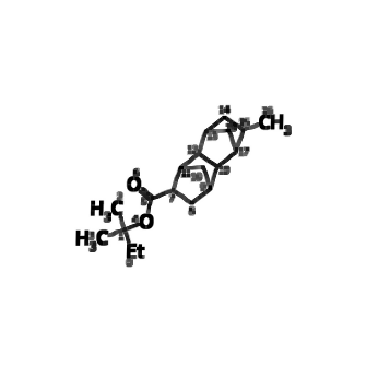 CCC(C)(C)OC(=O)C1CC2CC1C1C3CC(C)C(C3)C21